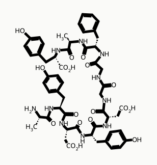 C[C@H](N)C(=O)N[C@@H](Cc1ccc(O)cc1)C(=O)N[C@@H](CC(=O)O)C(=O)N[C@@H](Cc1ccc(O)cc1)C(=O)N[C@@H](CC(=O)O)C(=O)NCC(=O)NCC(=O)N[C@@H](Cc1ccccc1)C(=O)N[C@@H](C)C(=O)N[C@@H](Cc1ccc(O)cc1)C(=O)O